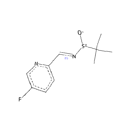 CC(C)(C)[S+]([O-])/N=C/c1ccc(F)cn1